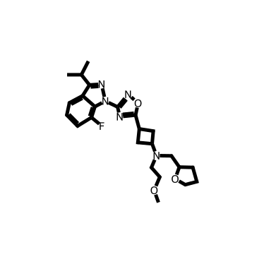 COCCN(CC1CCCO1)C1CC(c2nc(-n3nc(C(C)C)c4cccc(F)c43)no2)C1